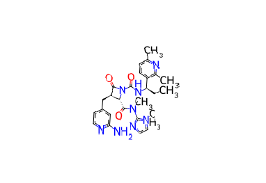 CC[C@@H](NC(=O)N1C(=O)[C@H](Cc2ccnc(N)c2)[C@H]1C(=O)N(C)c1nccn1C)c1ccc(C)nc1C